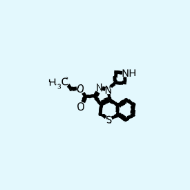 CCOC(=O)c1nn(C2CNC2)c2c1CSc1ccccc1-2